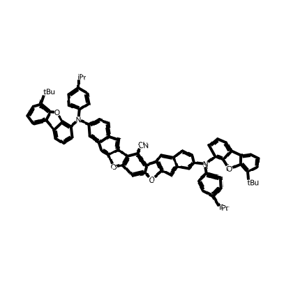 CC(C)c1ccc(N(c2ccc3cc4c(cc3c2)oc2cc3oc5cc6cc(N(c7ccc(C(C)C)cc7)c7cccc8c7oc7c(C(C)(C)C)cccc78)ccc6cc5c3c(C#N)c24)c2cccc3c2oc2c(C(C)(C)C)cccc23)cc1